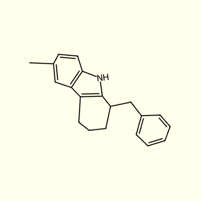 Cc1ccc2[nH]c3c(c2c1)CCCC3Cc1ccccc1